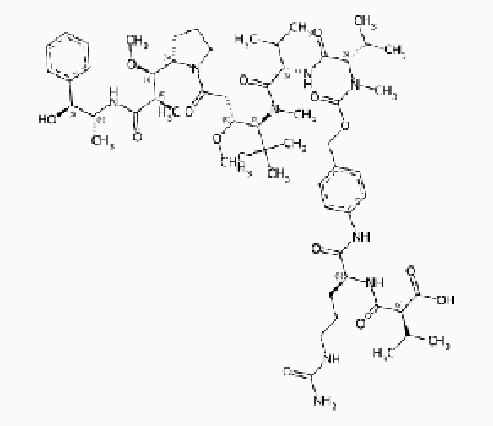 CO[C@H]([C@@H](C)C(=O)N[C@H](C)[C@@H](O)c1ccccc1)[C@@H]1CCCN1C(=O)C[C@@H](OC)[C@@H](N(C)C(=O)[C@@H](NC(=O)[C@H](C(C)C)N(C)C(=O)OCc1ccc(NC(=O)[C@H](CCCNC(N)=O)NC(=O)[C@@H](C(=O)O)C(C)C)cc1)C(C)C)C(C)(C)C